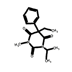 CCC1(c2ccccc2)C(=O)N(C)C(=O)N(C(C)C)C1=O